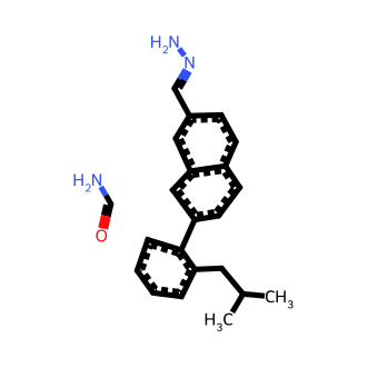 CC(C)Cc1ccccc1-c1ccc2ccc(C=NN)cc2c1.NC=O